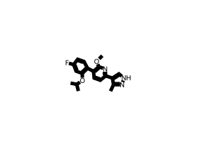 COc1nc(-c2c[nH]nc2C)ccc1-c1ccc(F)cc1OC(C)C